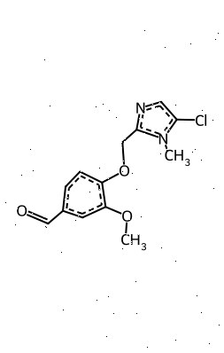 COc1cc(C=O)ccc1OCc1ncc(Cl)n1C